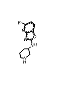 Brc1ccc2oc(N[C@@H]3CCCNC3)nc2n1